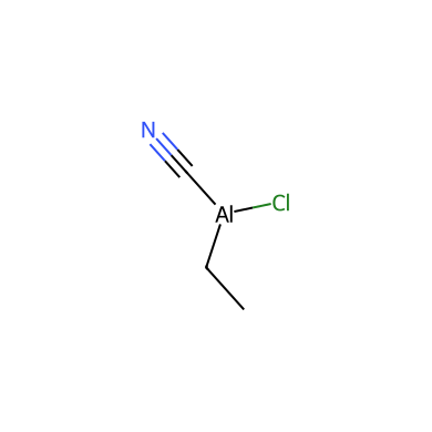 C[CH2][Al]([Cl])[C]#N